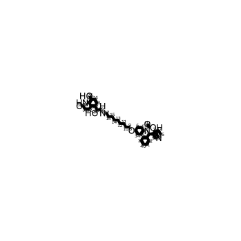 O=C(O)N(c1ccc(OCCCCCCCCCNC[C@H](O)c2ccc(O)c3[nH]c(=O)ccc23)cc1)[C@@H](c1ccccc1)C1CN2CCC1CC2